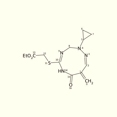 C=C1/C=N\N(C2CC2)C/N=C(/SCC(=O)OCC)NC1=O